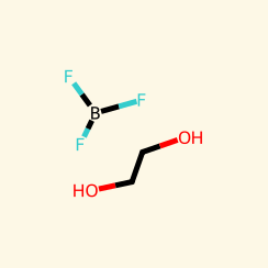 FB(F)F.OCCO